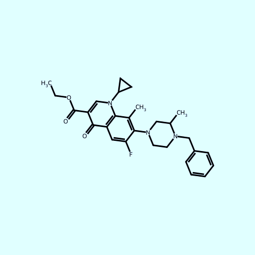 CCOC(=O)c1cn(C2CC2)c2c(C)c(N3CCN(Cc4ccccc4)C(C)C3)c(F)cc2c1=O